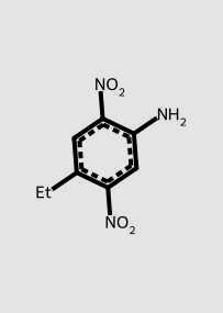 CCc1cc([N+](=O)[O-])c(N)cc1[N+](=O)[O-]